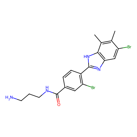 Cc1c(Br)cc2nc(-c3ccc(C(=O)NCCCN)cc3Br)[nH]c2c1C